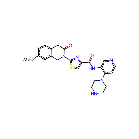 COc1ccc2c(c1)CN(c1nc(C(=O)Nc3cnccc3N3CCNCC3)cs1)C(=O)C2